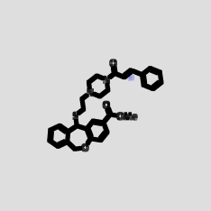 COC(=O)c1ccc2c(c1)C(SCCN1CCN(C(=O)/C=C/c3ccccc3)CC1)c1ccccc1CO2